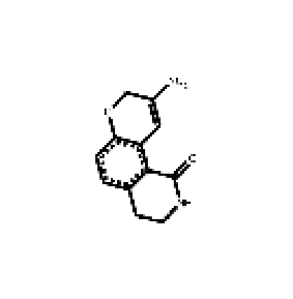 O=C1NCCc2ccc3c(c21)C=C([N+](=O)[O-])CO3